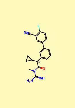 CN(C(=N)N)C(=O)[C@H](c1cccc(-c2ccc(F)c(C#N)c2)c1)C1CC1